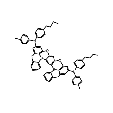 CCCCc1ccc(N(c2ccc(I)cc2)c2cc3c4c(c2)Sc2ccccc2B4c2cc4c(cc2O3)Oc2cc(N(c3ccc(I)cc3)c3ccc(CCCC)cc3)cc3c2B4c2ccccc2S3)cc1